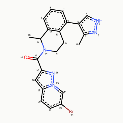 Cc1n[nH]cc1-c1cccc2c1CCN(C(=O)c1cc3ccc(Br)cn3n1)C2C